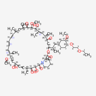 CCOCCO[C@@H]1CC[C@@H](C[C@@H](C)[C@H]2CC(=O)[C@H](C)/C=C(\C)[C@@H](O)[C@@H](OC)C(=O)[C@H](C)C[C@H](C)\C=C/C=C/C=C(\C)[C@@H](OC)C[C@@H](O)CC[C@@H](C)[C@H](O)C(=O)C(=O)N3CCCC[C@@H]3C(=O)O2)C[C@H]1OC